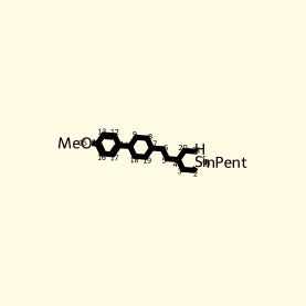 CCCCC[SiH]1CCC(CCC2CCC(c3ccc(OC)cc3)CC2)CC1